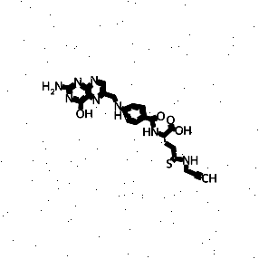 C#CCNC(=S)CC[C@H](NC(=O)c1ccc(NCc2cnc3nc(N)nc(O)c3n2)cc1)C(=O)O